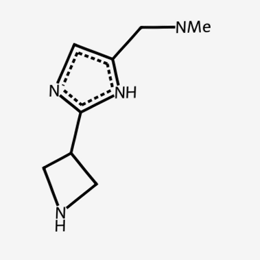 CNCc1cnc(C2CNC2)[nH]1